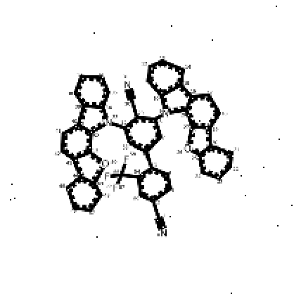 N#Cc1ccc(-c2cc(-n3c4ccccc4c4ccc5c6ccccc6oc5c43)c(C#N)c(-n3c4ccccc4c4ccc5c6ccccc6oc5c43)c2)c(C(F)(F)F)c1